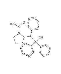 CC(=O)N1CCCC1C(c1ccccc1)C(O)(c1cccnc1)c1cccnc1